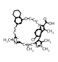 Cc1c(C(=O)O)n2c3ccc(Cl)c(c13)-c1c(nn(C)c1C)CN(C)Cc1cc(n(C)n1)CSc1cc3c(c(c1)OCCC2)CCCC3